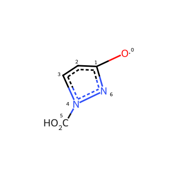 [O]c1ccn(C(=O)O)n1